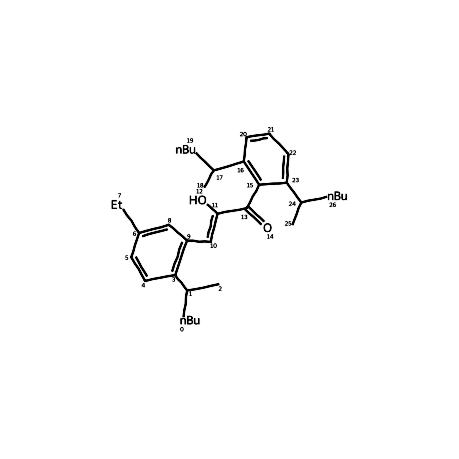 CCCCC(C)c1ccc(CC)cc1C=C(O)C(=O)c1c(C(C)CCCC)cccc1C(C)CCCC